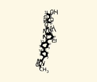 Cc1nc(-c2ccc(-c3ccc(-c4nc5nc(O[C@@H]6COC7[C@H](O)CO[C@@H]76)[nH]c5cc4Cl)cc3)cc2)no1